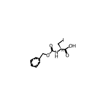 O=C(N[C@@H](CI)C(=O)O)OCc1ccccc1